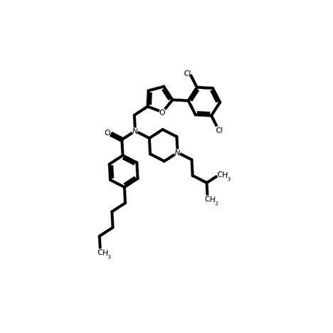 CCCCCc1ccc(C(=O)N(Cc2ccc(-c3cc(Cl)ccc3Cl)o2)C2CCN(CCC(C)C)CC2)cc1